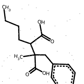 CCCCC(C(=O)O)C(C)(Cc1ccccc1)C(=O)O